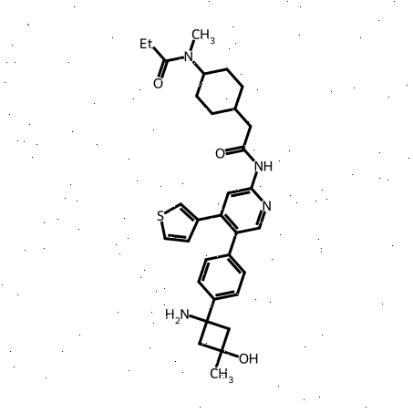 CCC(=O)N(C)C1CCC(CC(=O)Nc2cc(-c3ccsc3)c(-c3ccc(C4(N)CC(C)(O)C4)cc3)cn2)CC1